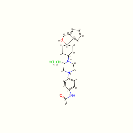 CC(=O)Nc1ccc(N2CCN(C3CCC4(CC3)OCc3ccccc34)CC2)cc1.Cl.Cl